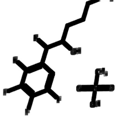 CCCCC(O)C(F)c1cc(F)c(F)c(F)c1F.CS(=O)(=O)O